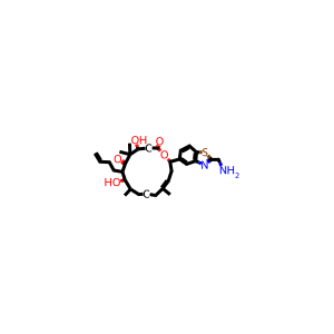 C=CCCC1C(=O)C(C)(C)C(O)CC(=O)OC(c2ccc3sc(CN)nc3c2)CC=C(C)CCCC(C)C1O